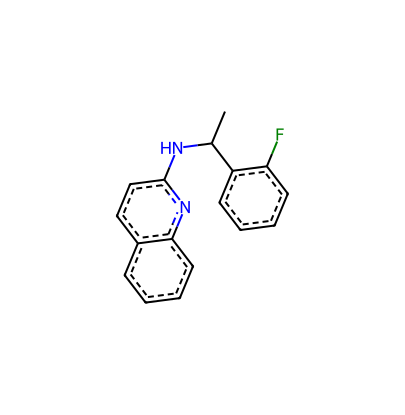 CC(Nc1ccc2ccccc2n1)c1ccccc1F